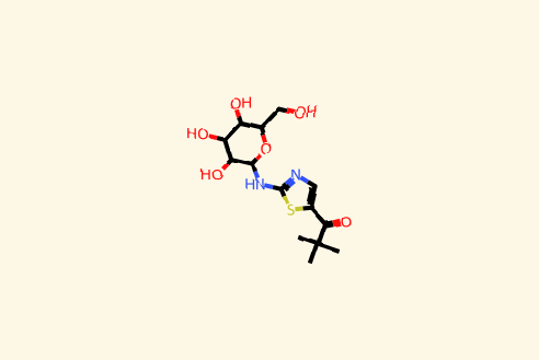 CC(C)(C)C(=O)c1cnc(NC2OC(CO)C(O)C(O)C2O)s1